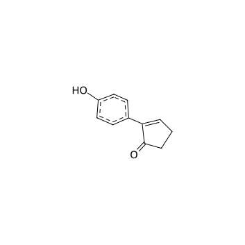 O=C1CCC=C1c1ccc(O)cc1